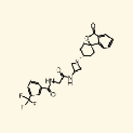 O=C(CNC(=O)c1cccc(C(F)(F)F)c1)NC1CN([C@H]2CC[C@@]3(CC2)OC(=O)c2ccccc23)C1